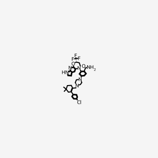 CC1(C)CCC(CN2CCN(c3ccc(C(N)=O)c(N4CC[C@@H](C(F)(F)F)Oc5nc6[nH]ccc6cc54)c3)CC2)=C(c2ccc(Cl)cc2)C1